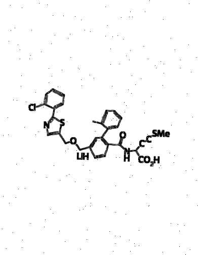 CSCCC(NC(=O)c1ccc(COCc2cnc(-c3ccccc3Cl)s2)cc1-c1ccccc1C)C(=O)O.[LiH]